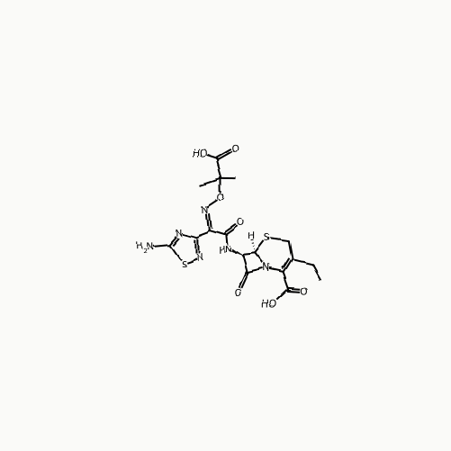 CCC1=C(C(=O)O)N2C(=O)[C@@H](NC(=O)/C(=N\OC(C)(C)C(=O)O)c3nsc(N)n3)[C@H]2SC1